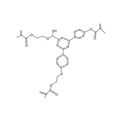 C=C(C)C(=O)OCCOc1ccc(-c2cc(-c3ccc(OC(=O)C(=C)C)cc3)cc(C(O)OCCOC(=O)C(=C)C)c2)cc1